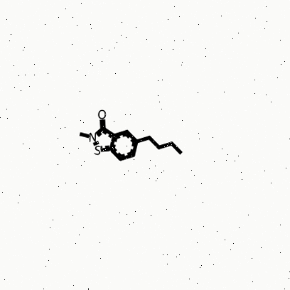 CCCCc1ccc2sn(C)c(=O)c2c1